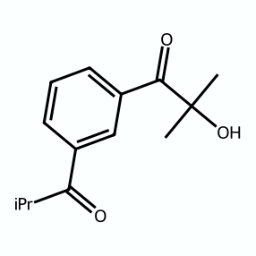 CC(C)C(=O)c1cccc(C(=O)C(C)(C)O)c1